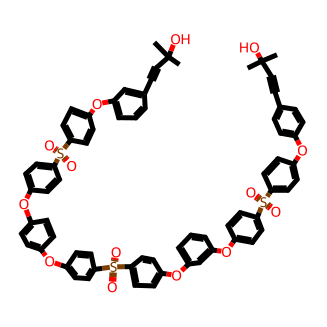 CC(C)(O)C#Cc1ccc(Oc2ccc(S(=O)(=O)c3ccc(Oc4cccc(Oc5ccc(S(=O)(=O)c6ccc(Oc7ccc(Oc8ccc(S(=O)(=O)c9ccc(Oc%10cccc(C#CC(C)(C)O)c%10)cc9)cc8)cc7)cc6)cc5)c4)cc3)cc2)cc1